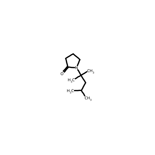 CC(C)CC(C)(C)N1CCCC1=O